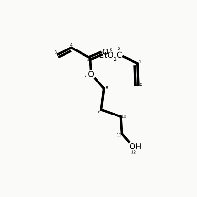 C=CC(=O)OCC.C=CC(=O)OCCCCO